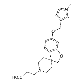 Cn1ccc(COc2ccc3c(c2)OCC32CCN(CCC(=O)O)CC2)n1